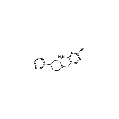 CC(C)c1ncc(CN2CCC(c3cccnc3)CC2)c(N)n1